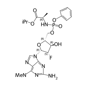 CNc1nc(N)nc2c1ncn2[C@@H]1O[C@H](COP(=O)(N[C@H](C)C(=O)OC(C)C)Oc2ccccc2)[C@@H](O)[C@@H]1F